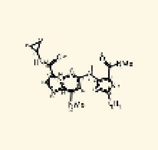 CNC(=O)c1nc(C)sc1Nc1cc(NC)c2ncc(C(=O)NC3CC3)n2n1